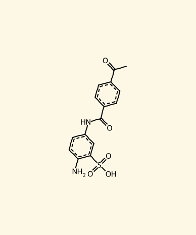 CC(=O)c1ccc(C(=O)Nc2ccc(N)c(S(=O)(=O)O)c2)cc1